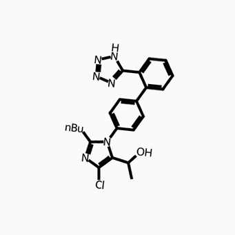 CCCCc1nc(Cl)c(C(C)O)n1-c1ccc(-c2ccccc2-c2nnn[nH]2)cc1